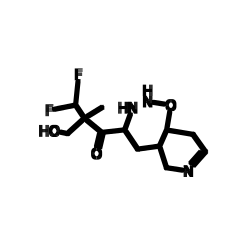 CC(CO)(C(=O)C1CC2CN=CCC2ONN1)C(F)F